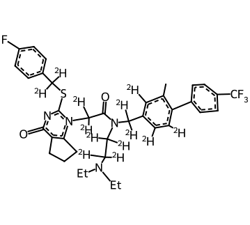 [2H]c1c([2H])c(C([2H])([2H])N(C(=O)C([2H])([2H])n2c(SC([2H])([2H])c3ccc(F)cc3)nc(=O)c3c2CCC3)C([2H])([2H])C([2H])([2H])N(CC)CC)c([2H])c(C)c1-c1ccc(C(F)(F)F)cc1